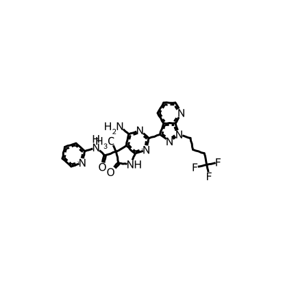 CC1(C(=O)Nc2ccccn2)C(=O)Nc2nc(-c3nn(CCCC(F)(F)F)c4ncccc34)nc(N)c21